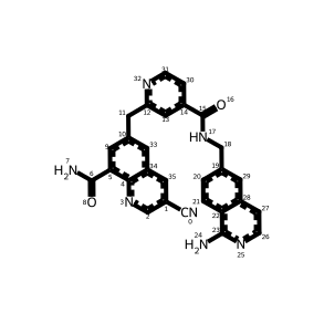 N#Cc1cnc2c(C(N)=O)cc(Cc3cc(C(=O)NCc4ccc5c(N)nccc5c4)ccn3)cc2c1